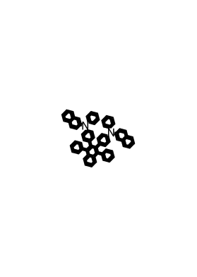 c1ccc(-c2c(-c3ccc(N(c4ccccc4)c4ccc5ccccc5c4)cc3)c(-c3ccc(N(c4ccccc4)c4ccc5ccccc5c4)cc3)c(-c3ccccc3)c3ccccc23)cc1